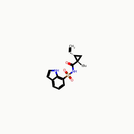 C=C[C@@H]1C[C@@]1(C(=O)NS(=O)(=O)c1cccc2cc[nH]c12)C(C)(C)C